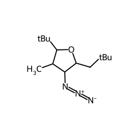 CC1C(N=[N+]=[N-])C(CC(C)(C)C)OC1C(C)(C)C